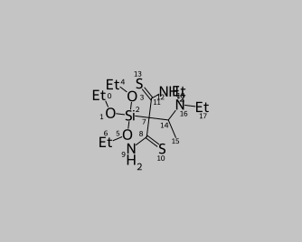 CCO[Si](OCC)(OCC)C(C(N)=S)(C(N)=S)C(C)N(CC)CC